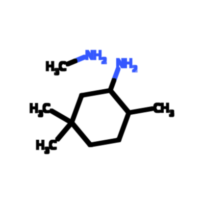 CC1CCC(C)(C)CC1N.CN